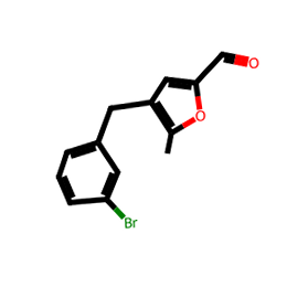 Cc1oc(C=O)cc1Cc1cccc(Br)c1